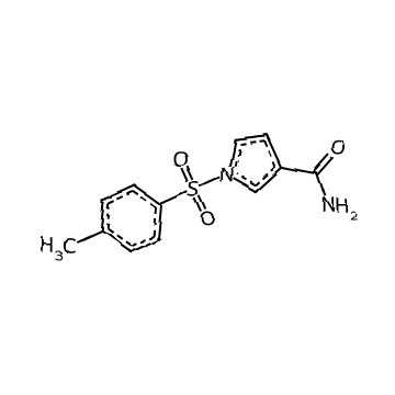 Cc1ccc(S(=O)(=O)n2ccc(C(N)=O)c2)cc1